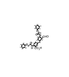 O=Cc1cc(Cc2ccc(NC(=O)COc3ccccc3)c(C(=O)O)c2)ccc1NC(=O)COc1ccccc1